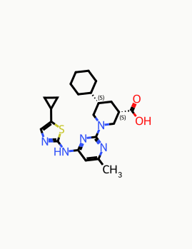 Cc1cc(Nc2ncc(C3CC3)s2)nc(N2C[C@@H](C(=O)O)C[C@@H](C3CCCCC3)C2)n1